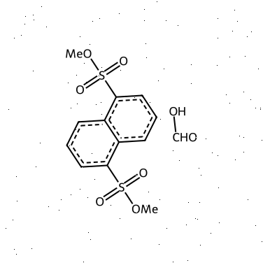 COS(=O)(=O)c1cccc2c(S(=O)(=O)OC)cccc12.O=CO